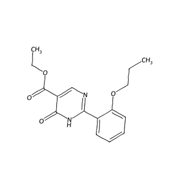 CCCOc1ccccc1-c1ncc(C(=O)OCC)c(=O)[nH]1